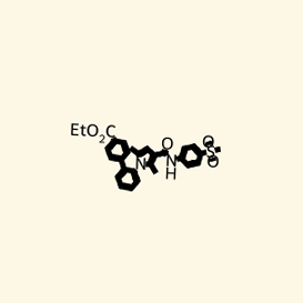 CCOC(=O)c1ccc(-c2ccccc2-n2c(C)cc(C(=O)Nc3ccc(S(C)(=O)=O)cc3)c2C)cc1